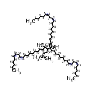 CCCCC/C=C\C/C=C\CCCCCCCCCC(O)(CCCCCCCC/C=C\C/C=C\CCCCC)C(CCN(C)C)C(C)(O)CCCCCCCC/C=C\C/C=C\CCCCC